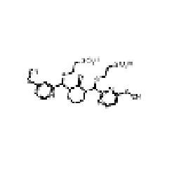 N#CSc1cc(C(SCCS(=O)(=O)O)C2CCCC(C(SCCS(=O)(=O)O)c3nccc(SC#N)n3)C2=O)ncn1